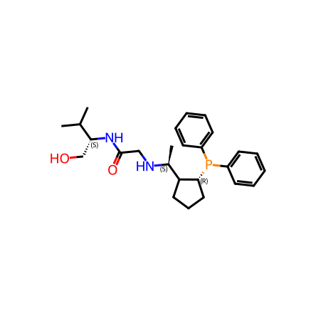 CC(C)[C@@H](CO)NC(=O)CN[C@@H](C)C1CCC[C@H]1P(c1ccccc1)c1ccccc1